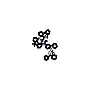 C=C/C(=C\C=C1/Cc2nc3ccccc3c3cccc(c23)N1c1cccc2c1-c1ccccc1C2(C)C)c1ccc2c(c1)c1ccccc1n2-c1nc(-c2ccccc2)c2ccccc2n1